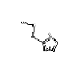 CCO[CH]c1ncc[nH]1